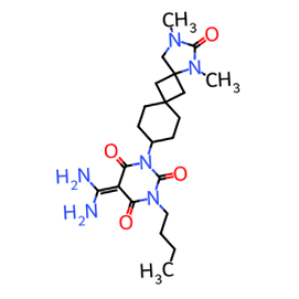 CCCCN1C(=O)C(=C(N)N)C(=O)N(C2CCC3(CC2)CC2(CN(C)C(=O)N2C)C3)C1=O